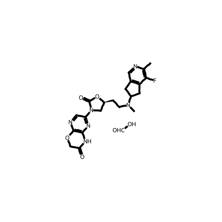 Cc1ncc2c(c1F)CC(N(C)CC[C@H]1CN(c3cnc4c(n3)NC(=O)CO4)C(=O)O1)C2.O=CO